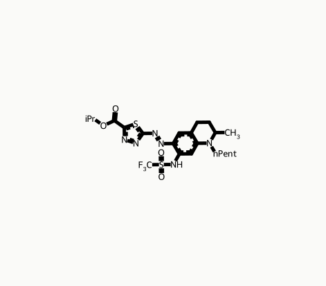 CCCCCN1c2cc(NS(=O)(=O)C(F)(F)F)c(N=Nc3nnc(C(=O)OC(C)C)s3)cc2CCC1C